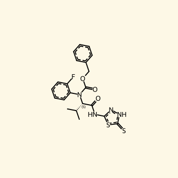 CC(C)[C@@H](C(=O)Nc1n[nH]c(=S)s1)N(C(=O)OCc1ccccc1)c1ccccc1F